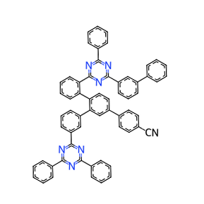 N#Cc1ccc(-c2ccc(-c3ccccc3-c3nc(-c4ccccc4)nc(-c4cccc(-c5ccccc5)c4)n3)c(-c3cccc(-c4nc(-c5ccccc5)nc(-c5ccccc5)n4)c3)c2)cc1